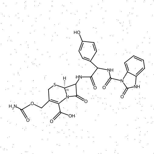 NC(=O)OCC1=C(C(=O)O)N2C(=O)C(NC(=O)C(NC(=O)n3c(=O)[nH]c4ccccc43)c3ccc(O)cc3)[C@@H]2SC1